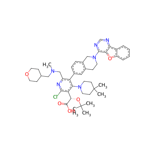 CN(Cc1nc(Cl)c([C@H](OC(C)(C)C)C(=O)O)c(N2CCC(C)(C)CC2)c1-c1ccc2c(c1)CCN(c1ncnc3c1oc1ccccc13)C2)CC1CCOCC1